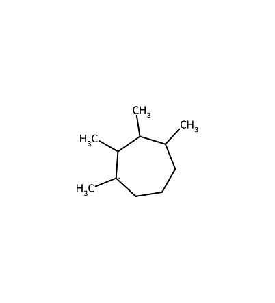 C[C]1CCCC(C)C(C)C1C